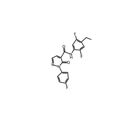 CCc1cc(F)c(NC(=O)c2ccnn(-c3ccc(F)cc3)c2=O)cc1F